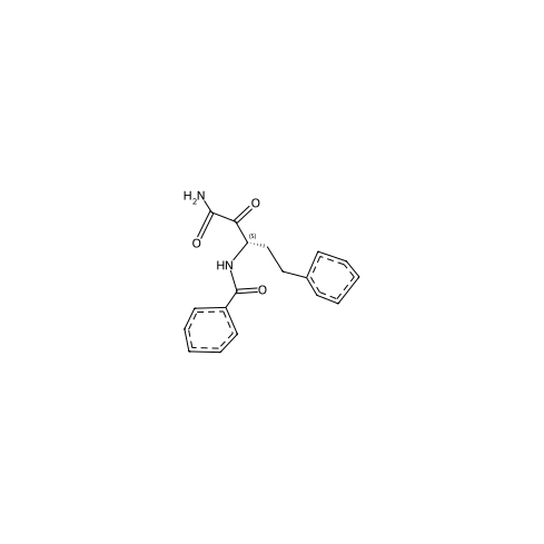 NC(=O)C(=O)[C@H](CCc1ccccc1)NC(=O)c1ccccc1